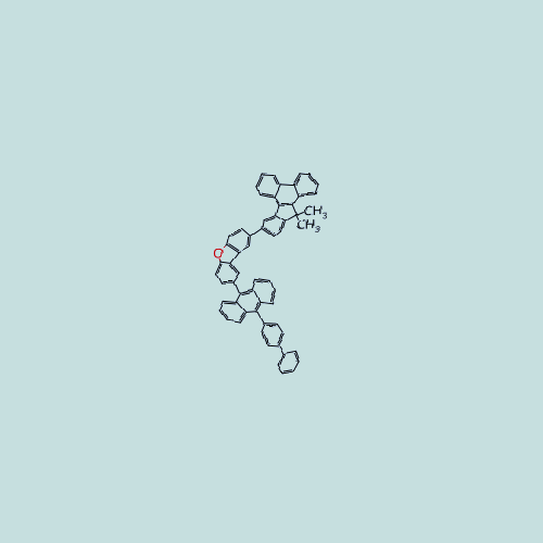 CC1(C)c2ccc(-c3ccc4oc5ccc(-c6c7ccccc7c(-c7ccc(-c8ccccc8)cc7)c7ccccc67)cc5c4c3)cc2-c2c1c1ccccc1c1ccccc21